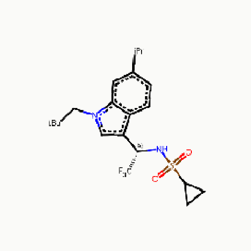 CC(C)c1ccc2c([C@H](NS(=O)(=O)C3CC3)C(F)(F)F)cn(CC(C)(C)C)c2c1